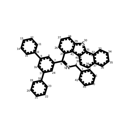 c1ccc(C/N=C(/c2cc(-c3ccccc3)cc(-c3ccccc3)c2)c2cccc3sc4c5ccccc5ccc4c23)cc1